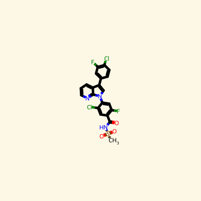 CS(=O)(=O)NC(=O)c1cc(Cl)c(-n2cc(-c3ccc(Cl)c(F)c3)c3cccnc32)cc1F